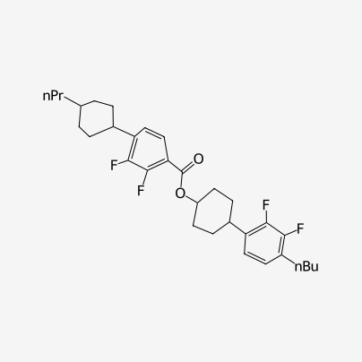 CCCCc1ccc(C2CCC(OC(=O)c3ccc(C4CCC(CCC)CC4)c(F)c3F)CC2)c(F)c1F